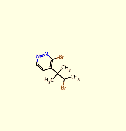 CC(Br)C(C)(C)c1ccnnc1Br